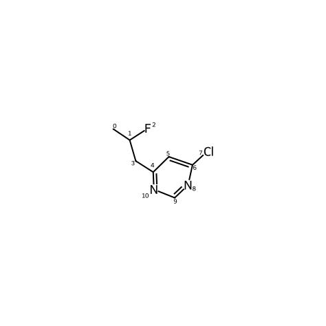 CC(F)Cc1cc(Cl)ncn1